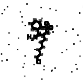 NN1C(CCCCCCCl)=NS(=O)(=O)c2ccccc21